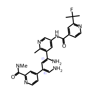 CNC(=O)c1cc(C(/C=C(\N)c2cc(NC(=O)c3ccnc(C(C)(C)F)c3)cnc2C)=C/N)ccn1